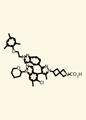 Cc1cc(C)c(OCCn2cc3cc(-c4nn(C5CC6(C5)CN(C(=O)O)C6)c(C)c4-c4c(Cl)c(C)cc5c4cnn5C4CCCCO4)ccc3n2)c(C)c1